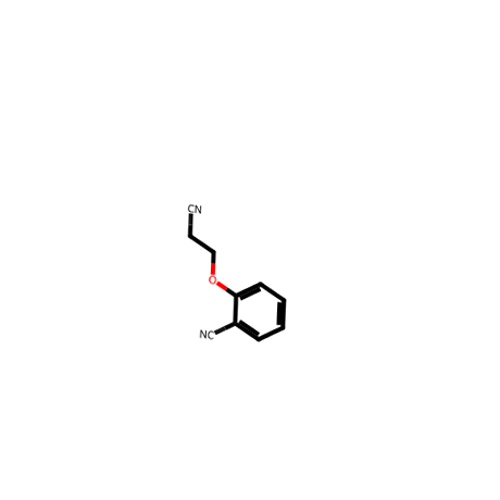 N#CCCOc1ccccc1C#N